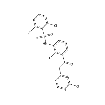 O=C(Cc1ccnc(Cl)n1)c1cccc(NS(=O)(=O)c2c(Cl)cccc2C(F)(F)F)c1F